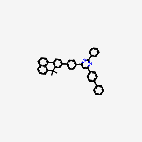 CC1(C)c2cc(-c3ccc(-c4cc(-c5ccc(-c6ccccc6)cc5)nc(-c5ccccc5)n4)cc3)ccc2-c2cccc3cccc1c23